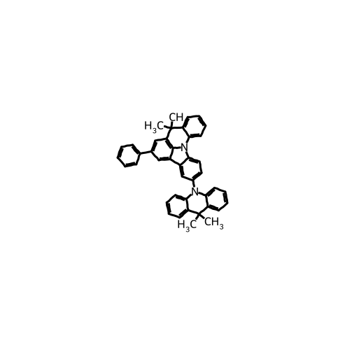 CC1(C)c2ccccc2N(c2ccc3c(c2)c2cc(-c4ccccc4)cc4c2n3-c2ccccc2C4(C)C)c2ccccc21